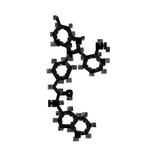 Cc1cnc2c(c1)nc(-c1cccnc1N)n2-c1ccc(CC(=O)Nc2ccc3ncccc3c2)cc1